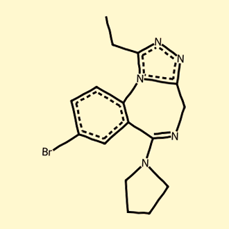 CCc1nnc2n1-c1ccc(Br)cc1C(N1CCCC1)=NC2